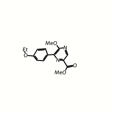 CCOc1ccc(-c2nc(C(=O)OC)cnc2OC)cc1